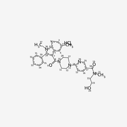 Cc1ccc2c(c1)c(C(=O)N1CCN(c3ccc(C(=O)N(C)CCO)cn3)CC1)c(-c1ccccc1)n2C.Cl